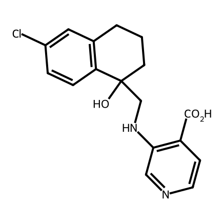 O=C(O)c1ccncc1NCC1(O)CCCc2cc(Cl)ccc21